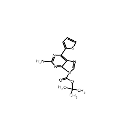 CC(C)(C)OC(=O)n1cnc2c(-c3cccs3)nc(N)nc21